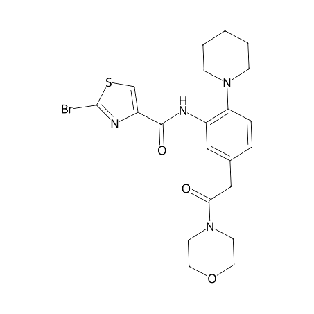 O=C(Nc1cc(CC(=O)N2CCOCC2)ccc1N1CCCCC1)c1csc(Br)n1